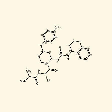 CN[C@@H](C)C(=O)N[C@H](C(=O)N1CCN(Cc2ccc(C(F)(F)F)cc2)C[C@@H]1OC(=O)NC1CCCc2ccccc21)C(C)C